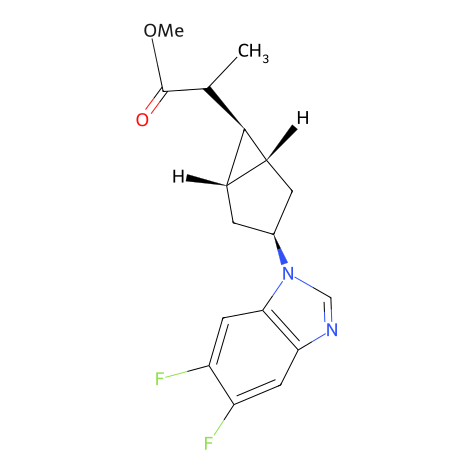 COC(=O)C(C)[C@H]1[C@@H]2C[C@@H](n3cnc4cc(F)c(F)cc43)C[C@@H]21